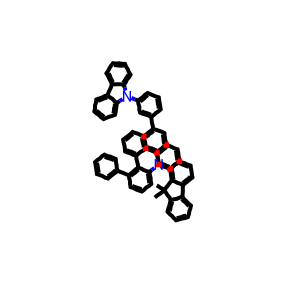 CC1(C)c2ccccc2-c2cccc(N(c3ccc(-c4cccc(-n5c6ccccc6c6ccccc65)c4)cc3)c3cccc(-c4ccccc4)c3-c3ccccc3-c3ccccc3)c21